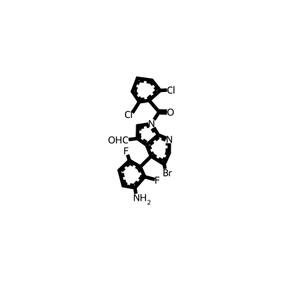 Nc1ccc(F)c(-c2c(Br)cnc3c2c(C=O)cn3C(=O)c2c(Cl)cccc2Cl)c1F